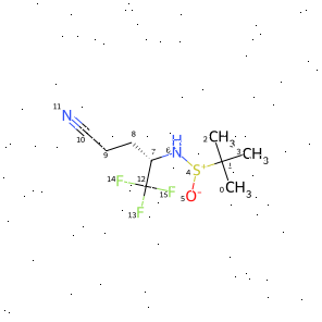 CC(C)(C)[S+]([O-])N[C@@H](CCC#N)C(F)(F)F